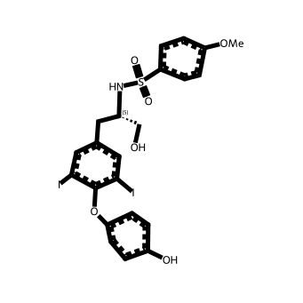 COc1ccc(S(=O)(=O)N[C@H](CO)Cc2cc(I)c(Oc3ccc(O)cc3)c(I)c2)cc1